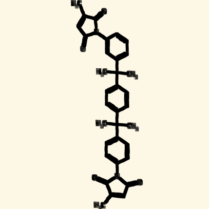 CC1=CC(=O)N(c2ccc(C(C)(C)c3ccc(C(C)(C)c4cccc(N5C(=O)C=C(C)C5=O)c4)cc3)cc2)C1=O